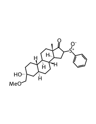 COC[C@@]1(O)CC[C@H]2[C@@H](CC[C@@H]3[C@@H]2CC[C@]2(C)C(=O)C([S+]([O-])c4ccccc4)C[C@@H]32)C1